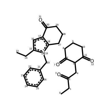 CCC(=O)CC1C(=O)CCCC1=O.CCc1cc2c(n1Cc1ccccc1)CCCC2=O